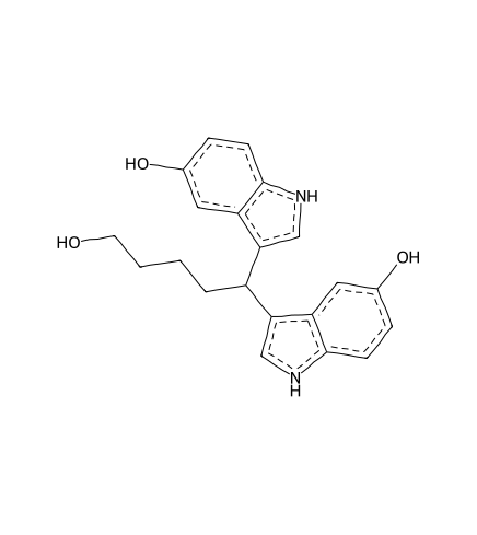 OCCCCC(c1c[nH]c2ccc(O)cc12)c1c[nH]c2ccc(O)cc12